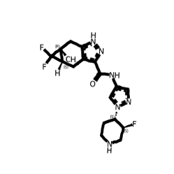 C[C@@]12Cc3[nH]nc(C(=O)Nc4cnn([C@H]5CCNC[C@@H]5F)c4)c3C[C@@H]1C2(F)F